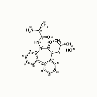 CC(C)CC1C(=O)N(NC(=O)[C@H](C)N)c2ccccc2-c2ccccc21.Cl